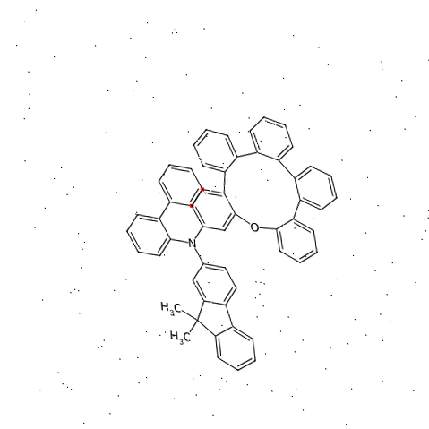 CC1(C)c2ccccc2-c2ccc(N(c3ccc4c(c3)Oc3ccccc3-c3ccccc3-c3ccccc3-c3ccccc3-4)c3ccccc3-c3ccccc3)cc21